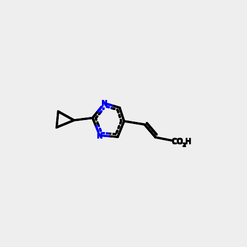 O=C(O)/C=C/c1cnc(C2CC2)nc1